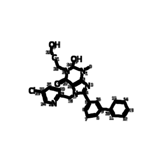 CN1c2nc(-c3cccc(-c4ccccc4)c3)n(Cc3ccc(Cl)cn3)c2C(=O)N(CCCO)C1O